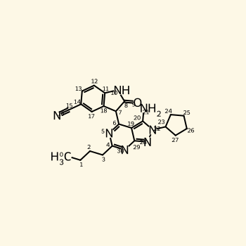 CCCCc1nc(C2C(=O)Nc3ccc(C#N)cc32)c2c(N)n(C3CCCC3)nc2n1